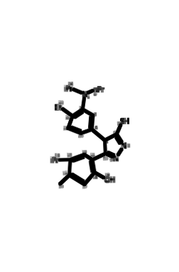 CCCN(c1cc(C2C(S)=NN=C2c2cc(C(C)C)c(C)cc2O)ccc1CC)C(C)C